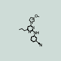 CCCc1cc(N2CC[C@H](OC)C2)nc(Nc2cccc(C#N)c2)n1